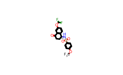 O=C1CC[C@H](NS(=O)(=O)c2ccc(OC(F)(F)F)cc2)c2ccc(OC(F)F)cc21